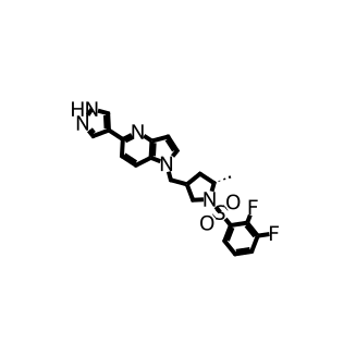 C[C@H]1CC(Cn2ccc3nc(-c4cn[nH]c4)ccc32)CN1S(=O)(=O)c1cccc(F)c1F